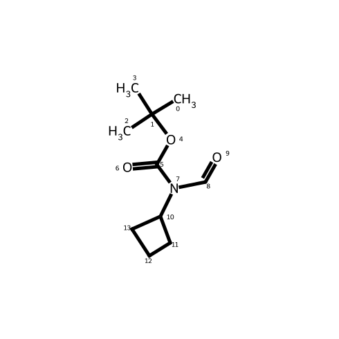 CC(C)(C)OC(=O)N(C=O)C1CCC1